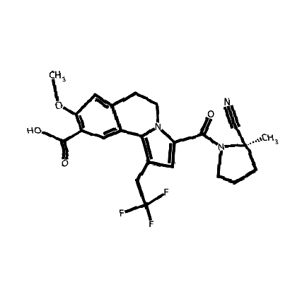 COc1cc2c(cc1C(=O)O)-c1c(CC(F)(F)F)cc(C(=O)N3CCC[C@]3(C)C#N)n1CC2